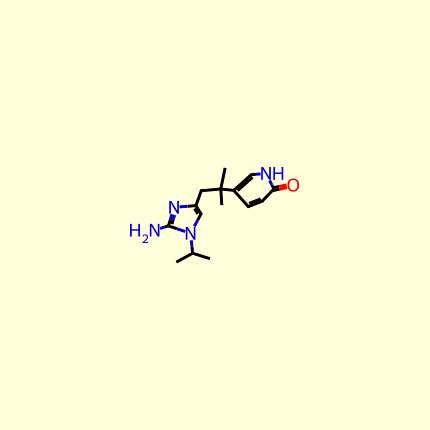 CC(C)n1cc(CC(C)(C)c2ccc(=O)[nH]c2)nc1N